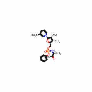 COC(=O)[C@H](C)NP(=O)(OC[C@H]1O[C@@H](N2C=CCC(C(=O)O)=C2)[C@H](OC(C)=O)[C@@H]1C)Oc1ccccc1